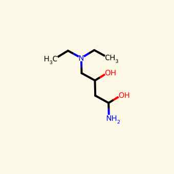 CCN(CC)CC(O)CC(N)O